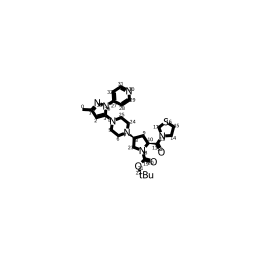 Cc1cc(N2CCN([C@H]3C[C@@H](C(=O)N4CCSC4)N(C(=O)OC(C)(C)C)C3)CC2)n(-c2ccncc2)n1